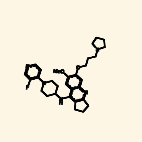 COc1cc2c(NC3CCN(c4ccncc4F)CC3)c3c(nc2cc1OCCCN1CCCC1)CCC3